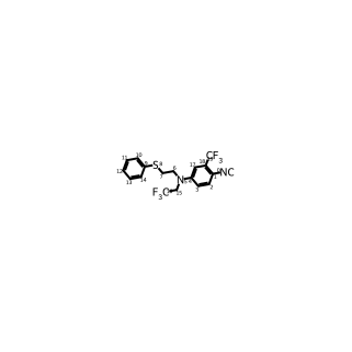 [C-]#[N+]c1ccc(N(CCSc2ccccc2)CC(F)(F)F)cc1C(F)(F)F